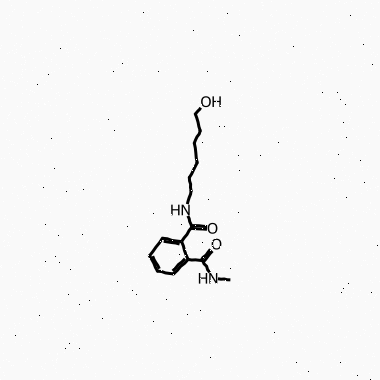 CNC(=O)c1ccccc1C(=O)NCCCCCCO